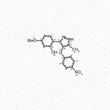 COc1ccc(-c2n[nH]c(C)c2Oc2ccc([N+](=O)[O-])cc2)c(O)c1